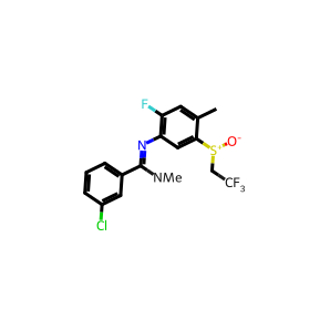 CN/C(=N\c1cc([S+]([O-])CC(F)(F)F)c(C)cc1F)c1cccc(Cl)c1